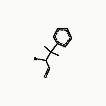 CC(C)(c1ccccc1)C(Br)C=O